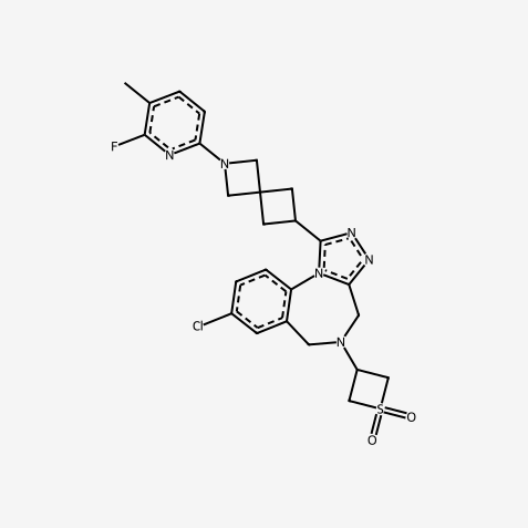 Cc1ccc(N2CC3(CC(c4nnc5n4-c4ccc(Cl)cc4CN(C4CS(=O)(=O)C4)C5)C3)C2)nc1F